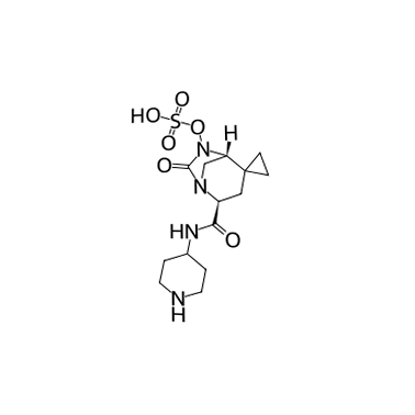 O=C(NC1CCNCC1)[C@@H]1CC2(CC2)[C@@H]2CN1C(=O)N2OS(=O)(=O)O